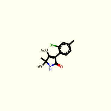 CCCC1(C)NC(=O)C(c2ccc(C)cc2Br)=C1OC(C)=O